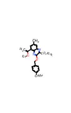 C=C(OCC)c1cc(C)cc2nc(C(=O)OCC)c(OCc3ccc(OC)cc3)nc12